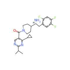 CC(C)c1ncc(C(=O)N2CCC([C@H](N)Cc3cc(F)c(F)cc3F)CC2)c(C2CC2)n1